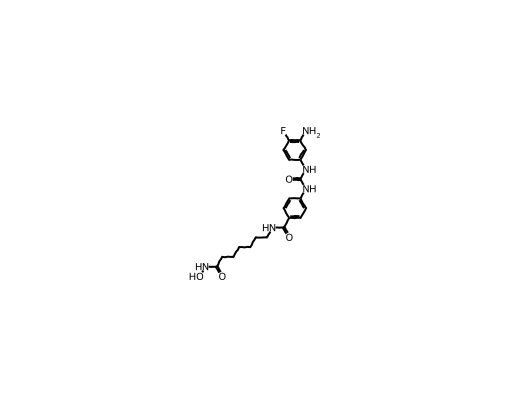 Nc1cc(NC(=O)Nc2ccc(C(=O)NCCCCCCC(=O)NO)cc2)ccc1F